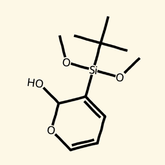 CO[Si](OC)(C1=CC=COC1O)C(C)(C)C